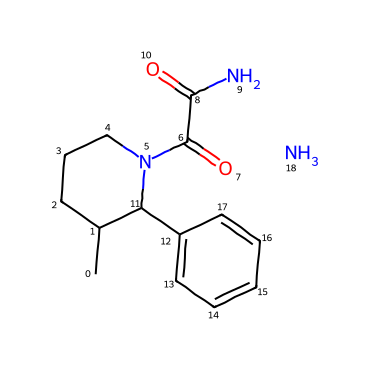 CC1CCCN(C(=O)C(N)=O)C1c1ccccc1.N